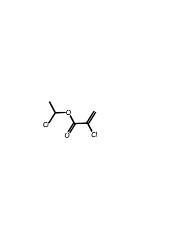 C=C(Cl)C(=O)OC(C)Cl